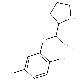 CC(Oc1cc(N)ccc1C(F)(F)F)C1CCCN1